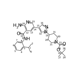 CC(C)c1ccccc1NC(=O)c1cc(-c2cnn(C3CCN(C(=O)OC(C)(C)C)CC3)c2)cnc1N